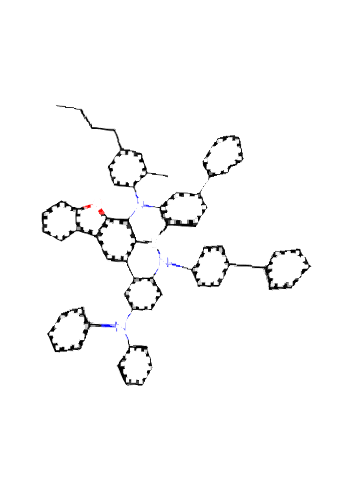 CCCCc1ccc(N2c3cc(-c4ccccc4)ccc3B3c4c(cc5c(oc6ccccc65)c42)-c2cc(N(c4ccccc4)c4ccccc4)ccc2N3c2ccc(-c3ccccc3)cc2)c(C)c1